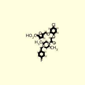 C[C@@H]1CN(Cc2ccc(F)cc2)[C@@H](C)CN1C(=O)COc1ccc(Cl)cc1OCc1ccc(C(=O)O)o1